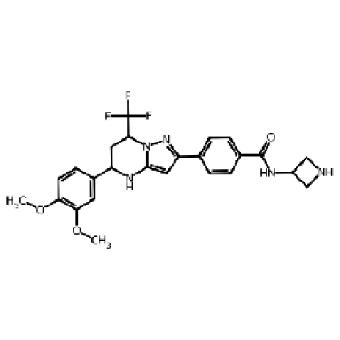 COc1ccc(C2CC(C(F)(F)F)n3nc(-c4ccc(C(=O)NC5CNC5)cc4)cc3N2)cc1OC